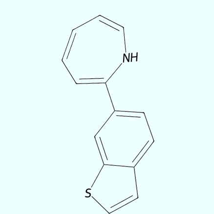 C1=CC=C(c2ccc3ccsc3c2)NC=C1